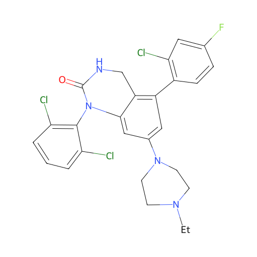 CCN1CCN(c2cc(-c3ccc(F)cc3Cl)c3c(c2)N(c2c(Cl)cccc2Cl)C(=O)NC3)CC1